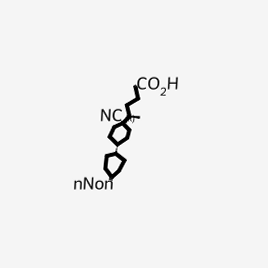 CCCCCCCCCC1CCC([C@H]2CC[C@](C#N)([C@H](C)CCCC(=O)O)CC2)CC1